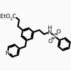 CCOC(=O)CCc1cc(CCNS(=O)(=O)c2ccccc2)cc(Cc2ccncc2)c1